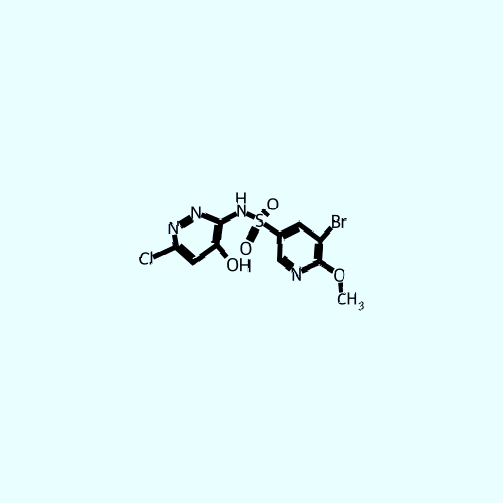 COc1ncc(S(=O)(=O)Nc2nnc(Cl)cc2O)cc1Br